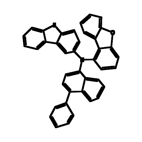 c1ccc(-c2ccc(N(c3ccc4sc5ccccc5c4c3)c3cccc4oc5ccccc5c34)c3ccccc23)cc1